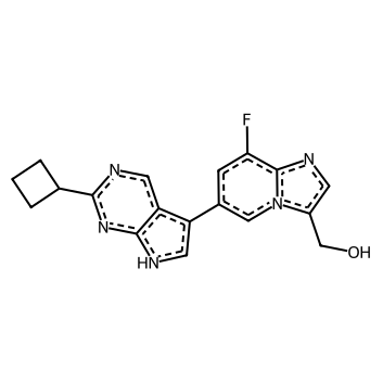 OCc1cnc2c(F)cc(-c3c[nH]c4nc(C5CCC5)ncc34)cn12